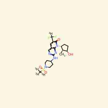 [2H]C(F)(F)c1cc2cnc(NC3CCN(S(=O)(=O)C([2H])([2H])[2H])CC3)nc2n([C@@H]2CC[C@@H](O)[C@H]2C)c1=O